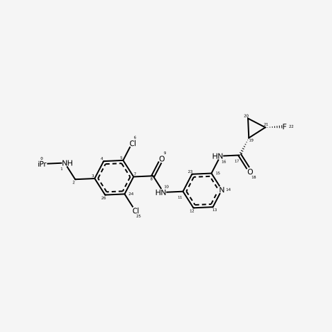 CC(C)NCc1cc(Cl)c(C(=O)Nc2ccnc(NC(=O)[C@@H]3C[C@@H]3F)c2)c(Cl)c1